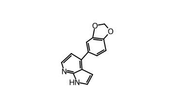 c1cc(-c2ccc3c(c2)OCO3)c2cc[nH]c2n1